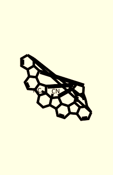 N#CC12C3=C4C5=C6C7C8C=CC9C%10C=CC%11C%12C=CC%13C%14C(=C4C4=C(C%11C%10C(=C54)C97)C%12%14)C1(C#N)C%13CCC2C1C=CC8C6C31